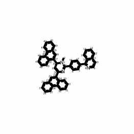 CN1C(c2ccc(-c3nccc4ccccc34)cc2)=NC(c2cc3ccccc3c3ccccc23)=CC1c1cc2ccccc2c2ccccc12